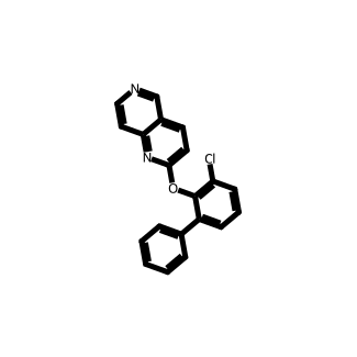 Clc1cccc(-c2ccccc2)c1Oc1ccc2cnccc2n1